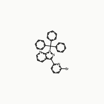 Brc1cccc(-c2nn(C(c3ccccc3)(c3ccccc3)c3ccccc3)c3ncccc23)n1